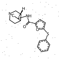 O=C(N[C@H]1CN2CCC1CC2)c1ccc(Sc2ccccc2)o1